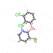 Clc1cccc(Oc2ncccc2Br)c1Cl